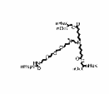 CCCCCCCCC(CCCCCC)COC(=O)CCCCCN(CCCCCC(=O)OCC(CCCCCC)CCCCCCCC)CCN(C)CCCOCCOCCOCCCNC(=O)CCCCCCC